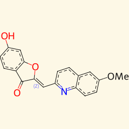 COc1ccc2nc(/C=C3\Oc4cc(O)ccc4C3=O)ccc2c1